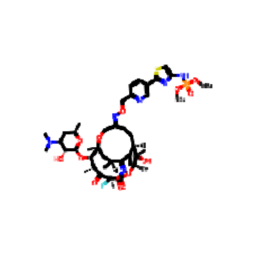 CCCCOP(=O)(Nc1csc(-c2ccc(CO/N=C3\CC[C@@H]4[C@@H](C)/C(=N/C(=O)CC)[C@H](C)C[C@@](C)(OC3)[C@H](O[C@@H]3O[C@H](C)C[C@H](N(C)C)[C@H]3O)[C@@H](C)C(=O)[C@](C)(F)C(=O)O[C@H](CC)[C@@]4(C)O)nc2)n1)OCCCC